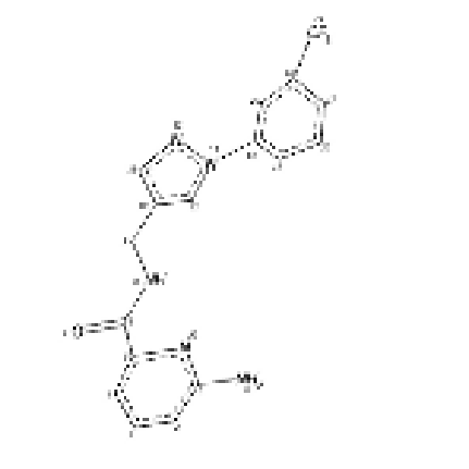 Nc1cccc(C(=O)NCc2cnn(-c3cccc(C(F)(F)F)c3)c2)n1